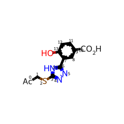 CC(=O)CSc1nnc(-c2cc(C(=O)O)ccc2O)[nH]1